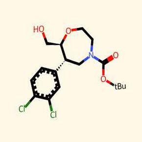 CC(C)(C)OC(=O)N1CCO[C@H](CO)[C@@H](c2ccc(Cl)c(Cl)c2)C1